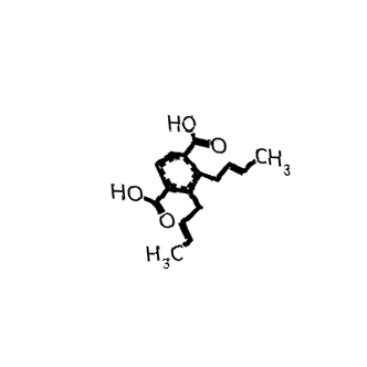 CC=CCc1c(C(=O)O)ccc(C(=O)O)c1CC=CC